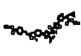 CN(CCC1CCN(C(=O)OC(C)(C)C)CC1)C[C@H]1CC[C@H](n2cc(NC(=O)c3coc(-c4ccnc(N(CC5CC5)C(=O)OC(C)(C)C)c4)n3)c(C(F)F)n2)CC1